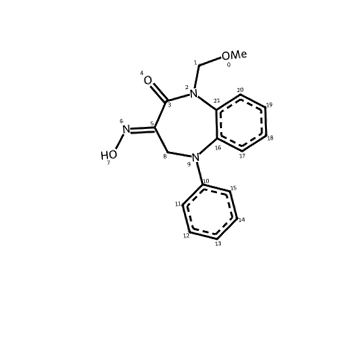 COCN1C(=O)C(=NO)CN(c2ccccc2)c2ccccc21